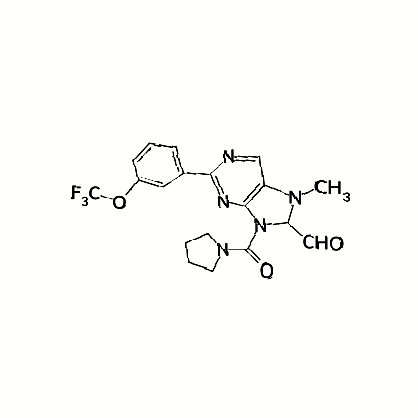 CN1c2cnc(-c3cccc(OC(F)(F)F)c3)nc2N(C(=O)N2CCCC2)C1C=O